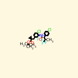 C[C@H]([C@H](C(=O)Nc1c(Cl)ccc(CC2(C(=O)OC(C)(C)C)CC2)c1F)c1ccc(Cl)cc1)C(F)(F)F